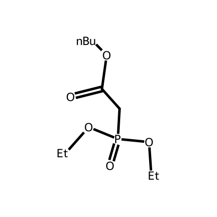 CCCCOC(=O)CP(=O)(OCC)OCC